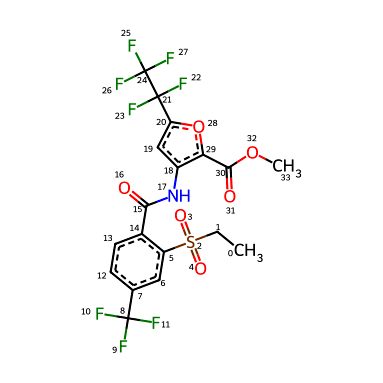 CCS(=O)(=O)c1cc(C(F)(F)F)ccc1C(=O)Nc1cc(C(F)(F)C(F)(F)F)oc1C(=O)OC